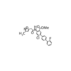 COC(=O)c1cc(-c2ccc(-c3ccccc3F)cc2)c(Cl)cc1NC(=O)Cc1cc(C)no1